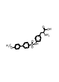 COc1ccc(-c2ccc(S(=O)(=O)Nc3ccc(C[C@H](N)C(=O)O)cc3)cc2)cc1